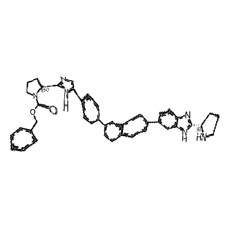 O=C(OCc1ccccc1)N1CCC[C@H]1c1ncc(-c2ccc(-c3ccc4ccc(-c5ccc6nc([C@@H]7CCCN7)[nH]c6c5)cc4c3)cc2)[nH]1